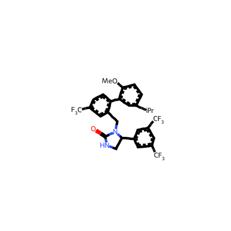 COc1ccc(C(C)C)cc1-c1ccc(C(F)(F)F)cc1CN1C(=O)NCC1c1cc(C(F)(F)F)cc(C(F)(F)F)c1